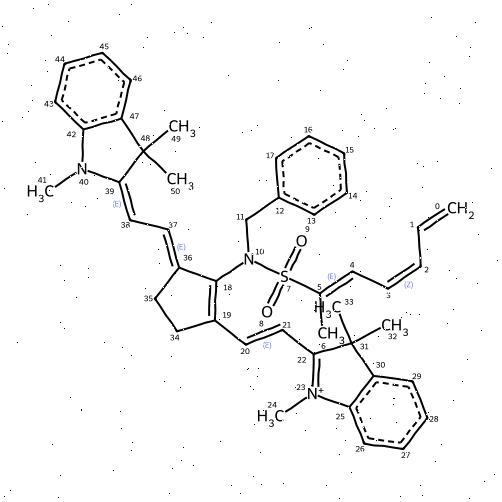 C=C/C=C\C=C(/C)S(=O)(=O)N(Cc1ccccc1)C1=C(/C=C/C2=[N+](C)c3ccccc3C2(C)C)CC/C1=C\C=C1\N(C)c2ccccc2C1(C)C